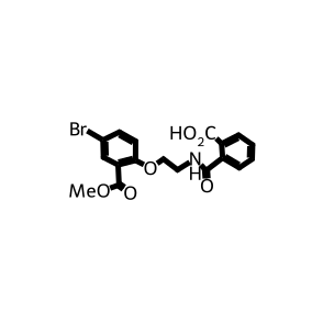 COC(=O)c1cc(Br)ccc1OCCNC(=O)c1ccccc1C(=O)O